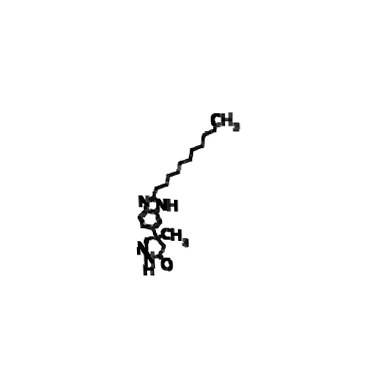 CCCCCCCCCCCc1nc2ccc(C3(C)C=NNC(=O)C3)cc2[nH]1